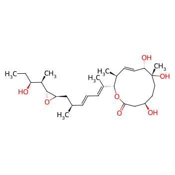 CC[C@H](O)[C@@H](C)[C@H]1O[C@@H]1C[C@H](C)/C=C/C=C(\C)[C@H]1OC(=O)C[C@H](O)CC[C@@](C)(O)[C@@H](O)/C=C/[C@@H]1C